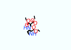 CCOC(=O)C(=CNc1cc[nH]c1C(=O)OCC)C(=O)OCC